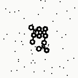 C1=CCC(c2ccc(N(C3=CCCCC3)c3cccc4c3-c3ccccc3C43c4ccccc4-c4ccc(C5=CC=C(N(c6ccccc6)C6CC=CCC6)CC5)cc43)cc2)C=C1